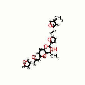 C=C1CO[C@@H](CC[C@@H]2CC[C@@H](CO[C@H]3CC[C@H](CC(=O)C[C@@H]4CCOC4)OC3[C@@H](C)O)O2)C1